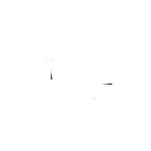 CC[C@@H](NC(C)C)C(C(C)C)C(C(C)C)[C@H](C(C)C)[C@@H](CC)NC